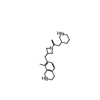 C=C(CC1CCCNC1)N1CC(Cc2ccc3c(c2C)CBCC3)C1